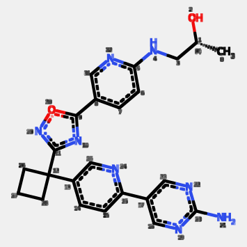 C[C@@H](O)CNc1ccc(-c2nc(C3(c4ccc(-c5cnc(N)nc5)nc4)CCC3)no2)cn1